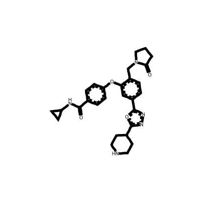 O=C(NC1CC1)c1ccc(Oc2cc(-c3nnc(C4CCNCC4)o3)ccc2CN2CCCC2=O)cc1